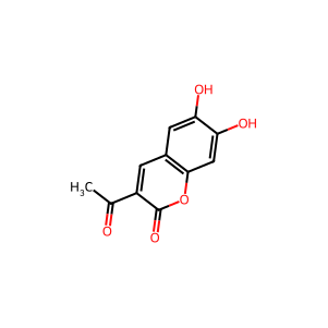 CC(=O)c1cc2cc(O)c(O)cc2oc1=O